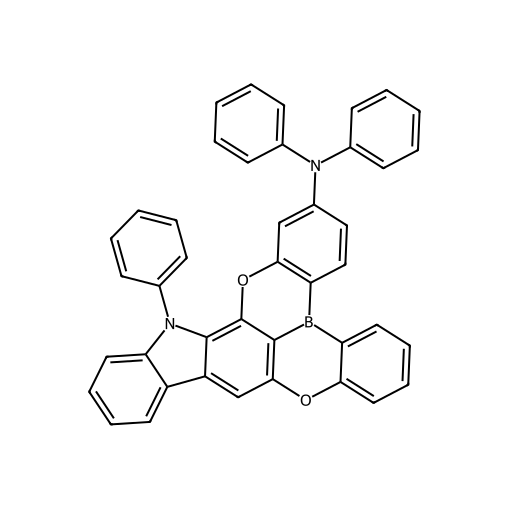 c1ccc(N(c2ccccc2)c2ccc3c(c2)Oc2c4c(cc5c6ccccc6n(-c6ccccc6)c25)Oc2ccccc2B34)cc1